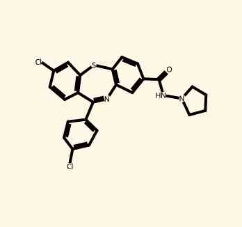 O=C(NN1CCCC1)c1ccc2c(c1)N=C(c1ccc(Cl)cc1)c1ccc(Cl)cc1S2